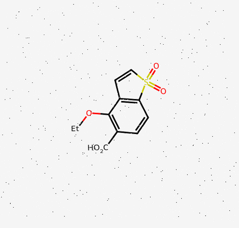 CCOc1c(C(=O)O)ccc2c1C=CS2(=O)=O